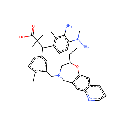 CCC1CN(Cc2cc(C(c3ccc(N(C)N)c(N)c3C)C(C)(C)C(=O)O)ccc2C)Cc2cc3ncccc3cc2O1